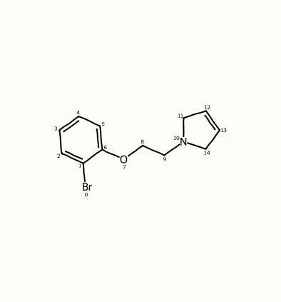 Brc1ccccc1OCCN1CC=CC1